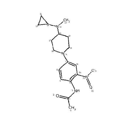 CC(=O)Nc1ccc(N2CCC(N(C)C3CC3)CC2)cc1[N+](=O)[O-]